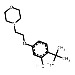 Cc1cc(OCCN2CCOCC2)ccc1C(C)(C)C